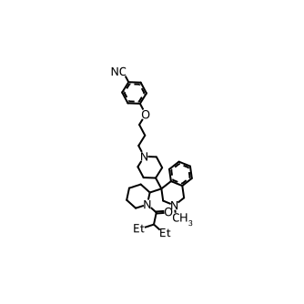 CCC(CC)C(=O)N1CCCCC1C1(C2CCN(CCCOc3ccc(C#N)cc3)CC2)CN(C)Cc2ccccc21